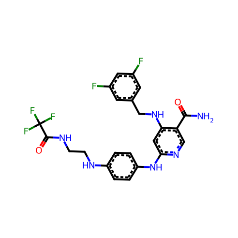 NC(=O)c1cnc(Nc2ccc(NCCNC(=O)C(F)(F)F)cc2)cc1NCc1cc(F)cc(F)c1